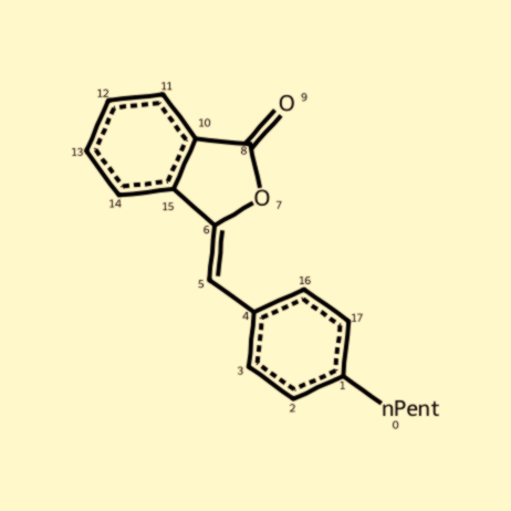 CCCCCc1ccc(C=C2OC(=O)c3ccccc32)cc1